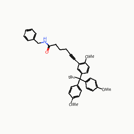 COc1ccc(C(c2ccc(OC)cc2)(c2ccc(OC)c(C#CCCCC(=O)NCc3ccccc3)c2)C(C)(C)C)cc1